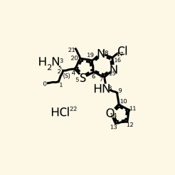 CC[C@H](N)c1sc2c(NCc3ccco3)nc(Cl)nc2c1C.Cl